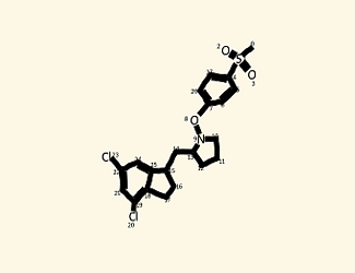 CS(=O)(=O)c1ccc(ON2CCCC2CC2CCc3c(Cl)cc(Cl)cc32)cc1